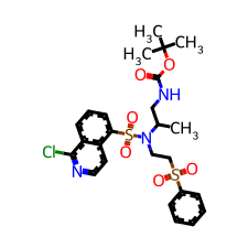 CC(CNC(=O)OC(C)(C)C)N(CCS(=O)(=O)c1ccccc1)S(=O)(=O)c1cccc2c(Cl)nccc12